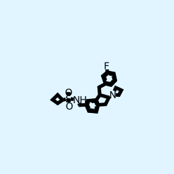 O=S(=O)(NCc1ccc2c(c1)C(Cc1cccc(F)c1)C(N1CCC1)C2)C1CCC1